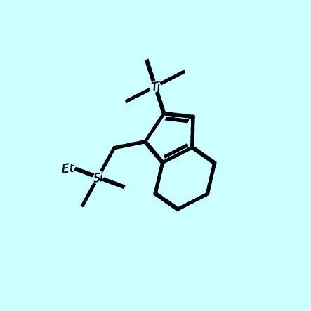 CC[Si](C)(C)CC1[C]([Ti]([CH3])([CH3])[CH3])=CC2=C1CCCC2